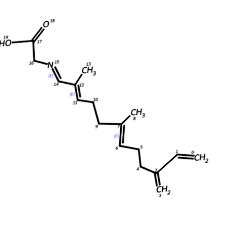 C=CC(=C)CC/C=C(\C)CC/C=C(C)/C=N/CC(=O)O